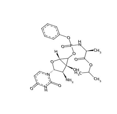 CC(C)OC(=O)[C@H](C)NP(=O)(Oc1ccccc1)OC1[C@H]2O[C@@H](n3ccc(=O)[nH]c3=O)[C@H](N)[C@@]12O